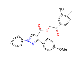 COc1ccc(-c2nn(-c3ccccc3)cc2C(=O)OCC(=O)c2ccc(C)c(N=O)c2)cc1